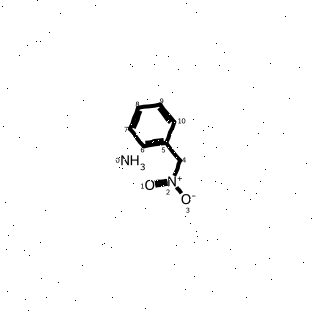 N.O=[N+]([O-])Cc1ccccc1